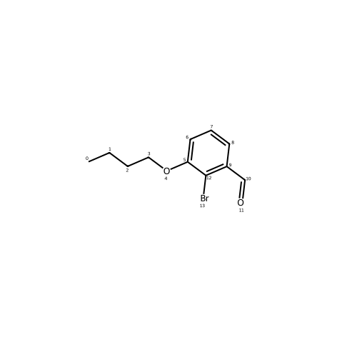 CCCCOc1cccc(C=O)c1Br